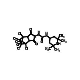 CC1(C)CC(NC(=O)NN2C(=O)C3C(C2=O)C2(Cl)C(Cl)=C(Cl)C3(Cl)C2(Cl)Cl)CC(C)(C)N1